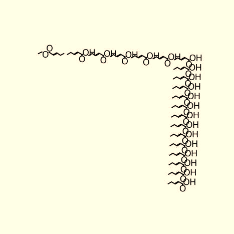 CCC=CC(=O)O.CCC=CC(=O)O.CCC=CC(=O)O.CCC=CC(=O)O.CCC=CC(=O)O.CCC=CC(=O)O.CCC=CC(=O)O.CCC=CC(=O)O.CCC=CC(=O)O.CCC=CC(=O)O.CCC=CC(=O)O.CCC=CC(=O)O.CCC=CC(=O)O.CCC=CC(=O)O.CCC=CC(=O)O.CCC=CC(=O)O.CCC=CC(=O)O.CCC=CC(=O)O.CCC=CC(=O)O.CCC=CC(=O)OCC